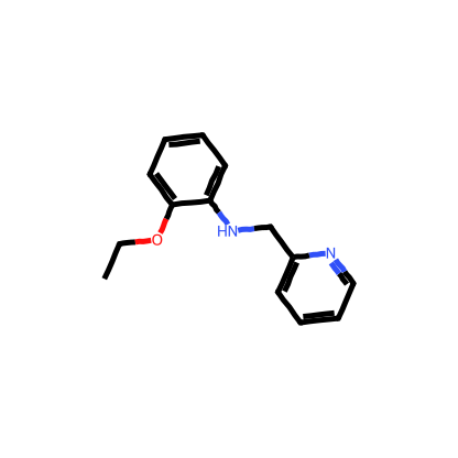 CCOc1ccccc1NCc1ccccn1